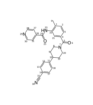 Cc1ccc(C(=O)N2CCC(c3ccc(C#N)cc3)CC2)cc1NC(=O)c1ccncc1